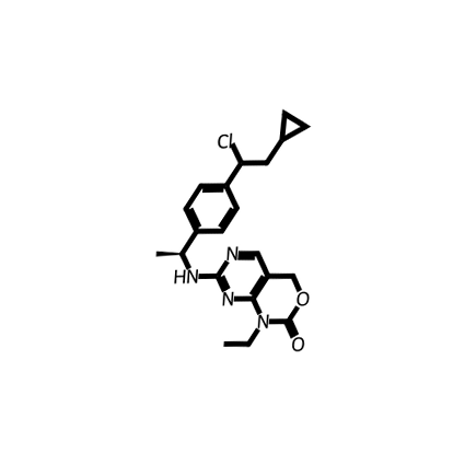 CCN1C(=O)OCc2cnc(N[C@@H](C)c3ccc(C(Cl)CC4CC4)cc3)nc21